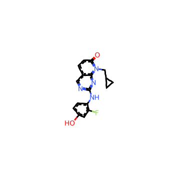 O=c1ccc2cnc(Nc3ccc(O)cc3F)nc2n1CC1CC1